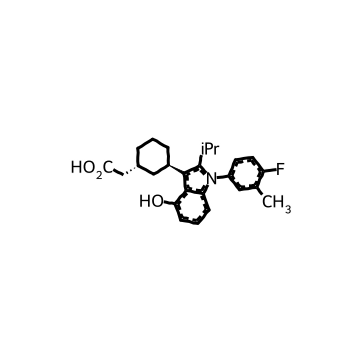 Cc1cc(-n2c(C(C)C)c([C@@H]3CCC[C@@H](CC(=O)O)C3)c3c(O)cccc32)ccc1F